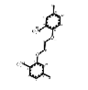 Cc1ccc([N+](=O)[O-])c(OCCOc2ccc(C)cc2[N+](=O)[O-])c1